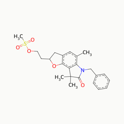 Cc1cc2c(c3c1N(Cc1ccccc1)C(=O)C3(C)C)OC(CCOS(C)(=O)=O)C2